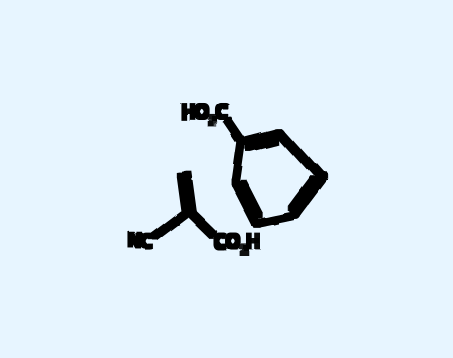 C=C(C#N)C(=O)O.O=C(O)c1ccccc1